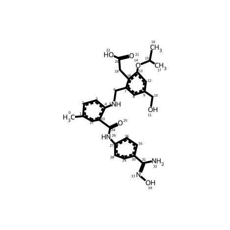 Cc1ccc(NCc2cc(CO)cc(OC(C)C)c2CC(=O)O)c(C(=O)Nc2ccc(/C(N)=N/O)cc2)c1